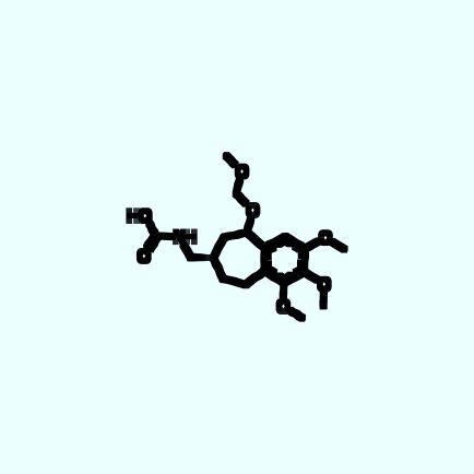 COCOC1C[C@H](CNC(=O)O)CCc2c1cc(OC)c(OC)c2OC